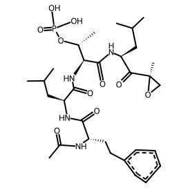 CC(=O)N[C@@H](CCc1ccccc1)C(=O)N[C@@H](CC(C)C)C(=O)N[C@H](C(=O)N[C@@H](CC(C)C)C(=O)[C@@]1(C)CO1)[C@@H](C)OP(=O)(O)O